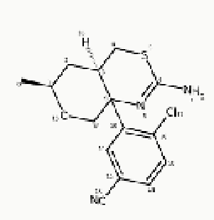 C[C@H]1C[C@H]2CSC(N)=NC2(c2cc(C#N)ccc2Cl)CO1